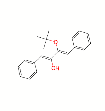 CC(C)(C)OC(=Cc1ccccc1)C(O)=Cc1ccccc1